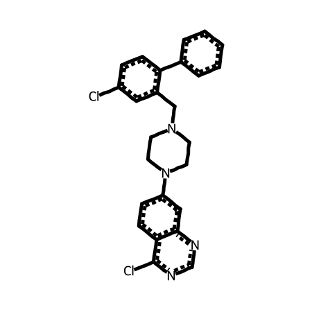 Clc1ccc(-c2ccccc2)c(CN2CCN(c3ccc4c(Cl)ncnc4c3)CC2)c1